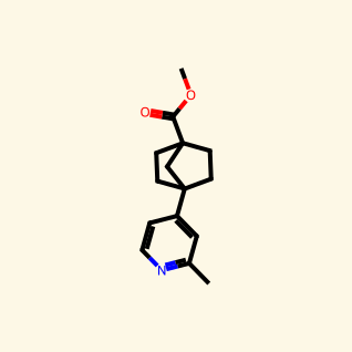 COC(=O)C12CCC(c3ccnc(C)c3)(CC1)C2